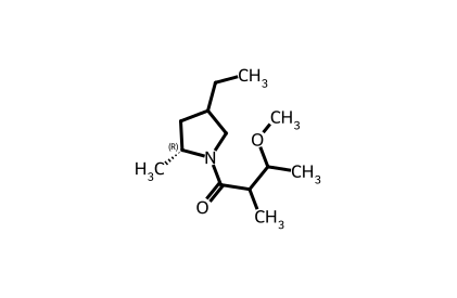 CCC1C[C@@H](C)N(C(=O)C(C)C(C)OC)C1